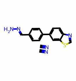 C#N.C#N.NN=Cc1ccc(-c2ccc3ncsc3c2)cc1